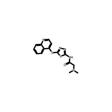 CN(C)CC(=O)Nc1nnc(Sc2ccnc3ccccc23)s1